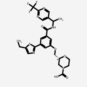 CCc1cnc(-c2cc(OC[C@H]3CN(C(=O)O)CCO3)cc(C(=O)NC(C)c3cnc(C(F)(F)F)nc3)c2)s1